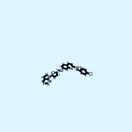 Clc1ccc(CNc2ccc3ccc(OC[C@@H]4CC[C@H](n5ccc6cncnc65)O4)cc3n2)cc1